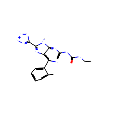 C=C(/N=C1\C(=C(/N)c2ccccc2C)N=C(c2nnn[nH]2)N1C)NC(=O)NCC